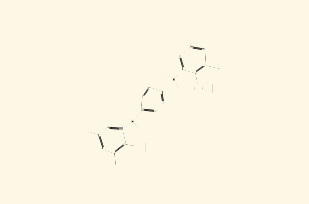 Cc1cc(C)c(O)c(C(C)(C)c2ccc(C(C)(C)c3cc(C)cc(C)c3O)cc2)c1